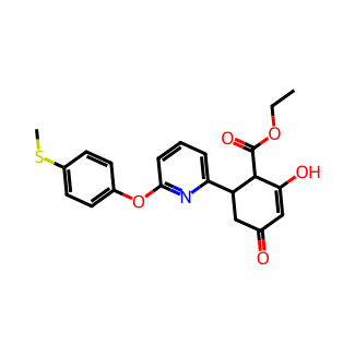 CCOC(=O)C1C(O)=CC(=O)CC1c1cccc(Oc2ccc(SC)cc2)n1